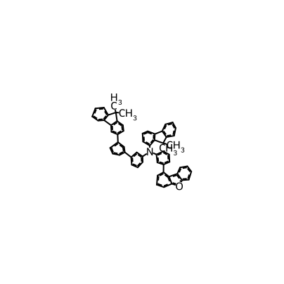 CC1(C)c2ccccc2-c2cc(-c3cccc(-c4cccc(N(c5cccc(-c6cccc7oc8ccccc8c67)c5)c5cccc6c5C(C)(C)c5ccccc5-6)c4)c3)ccc21